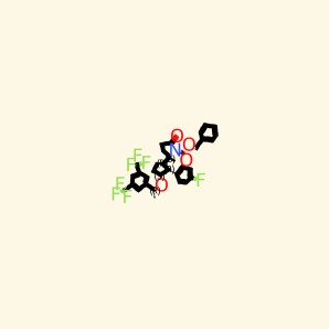 C[C@@H](O[C@H]1CC[C@@H]([C@]2(C)CCC(=O)N2C(=O)OCc2ccccc2)[C@@H]1c1ccc(F)cc1)c1cc(C(F)(F)F)cc(C(F)(F)F)c1